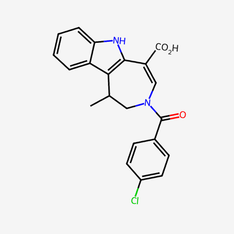 CC1CN(C(=O)c2ccc(Cl)cc2)C=C(C(=O)O)c2[nH]c3ccccc3c21